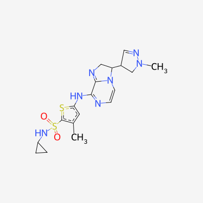 Cc1cc(NC2=NC=CN3C2=NCC3C2C=NN(C)C2)sc1S(=O)(=O)NC1CC1